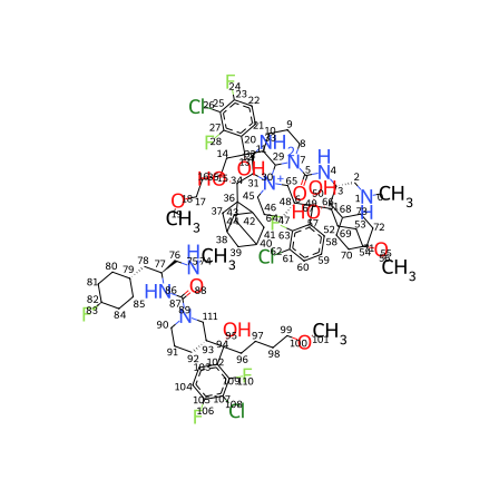 CNC[C@@H](NC(=O)N1CCCC([C@@](O)(CCCCOC)c2ccc(F)c(Cl)c2F)C1[N+]1([C@H](CN)[C@@H](O)C23CC4CC(CC2C4)C3)CCC[C@@H]([C@@](O)(CCCCOC)c2cccc(Cl)c2F)C1)[C@@H](O)C1CCCCC1.CNC[C@H](C[C@H]1CC[C@H](F)CC1)NC(=O)N1CCC[C@@H]([C@@](O)(CCCCOC)c2ccc(F)c(Cl)c2F)C1